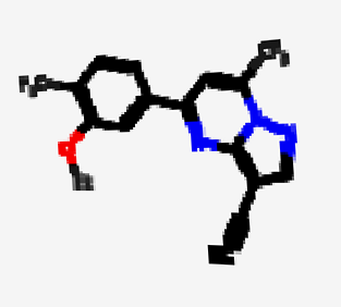 C#Cc1cnn2c(C(F)(F)F)cc(-c3ccc(C(F)(F)F)c(OCC)c3)nc12